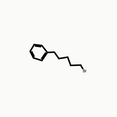 Br[CH]CCCCc1ccccc1